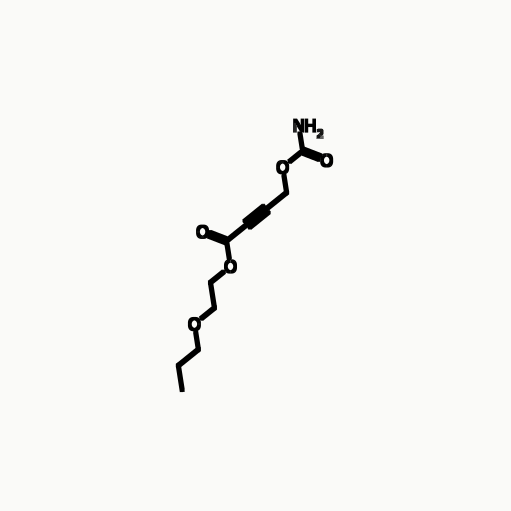 CCCOCCOC(=O)C#CCOC(N)=O